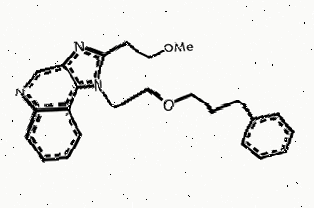 COCCc1nc2cnc3ccccc3c2n1CCOCCCc1ccccc1